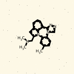 Cc1ccc2c(c1)n1c(CN(C)C)cc3cccc(c4nncn24)c31